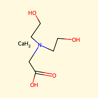 O=C(O)CN(CCO)CCO.[CaH2]